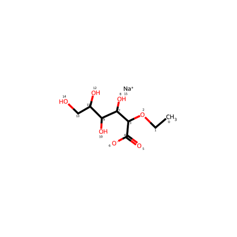 CCOC(C(=O)[O-])C(O)C(O)C(O)CO.[Na+]